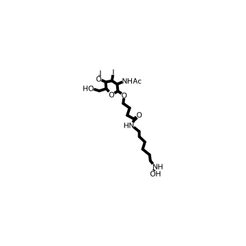 CC(=O)NC1C(OCCCC(=O)NCCCCCCNO)OC(CO)C(OI)C1I